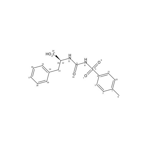 Cc1ccc(S(=O)(=O)NC(=O)N[C@@H](Cc2ccccc2)C(=O)O)cc1